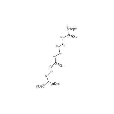 CCCCCCCCCCC(CCCCCCCCCC)CCOC(=O)CCCCCC(=O)CCCCCCC